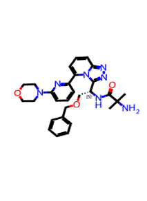 CC(C)(N)C(=O)N[C@H](COCc1ccccc1)c1nnc2cccc(-c3cccc(N4CCOCC4)n3)n12